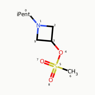 CCCC(C)N1CC(OS(C)(=O)=O)C1